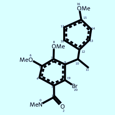 CNC(=O)c1cc(OC)c(OC)c(C(C)c2ccc(OC)cc2)c1Br